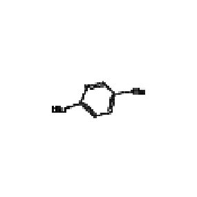 CC(C)(C)c1[c][c]c(C(C)(C)C)cc1